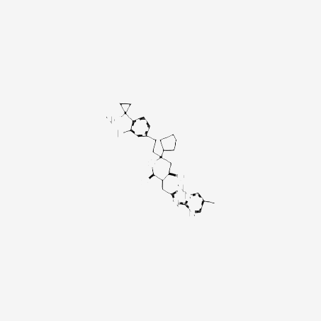 Cc1cnc2nc(CC3C(=O)CC(CCc4ccc(C5(C#N)CC5)c(F)c4)(C4CCCC4)OC3=O)nn2c1